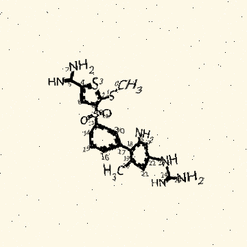 CSc1sc(C(=N)N)cc1S(=O)(=O)c1cccc(-c2c(C)cc(NC(=N)N)cc2N)c1